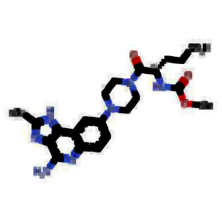 CCCCc1nc2c(N)nc3ccc(N4CCN(C(=O)[C@H](CCS(=O)(=O)O)NC(=O)OC(C)(C)C)CC4)cc3c2[nH]1